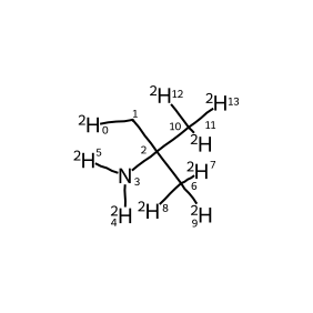 [2H]CC(N([2H])[2H])(C([2H])([2H])[2H])C([2H])([2H])[2H]